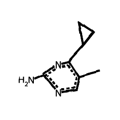 Cc1cnc(N)nc1C1CC1